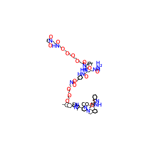 CCC1(Cn2ncc(-c3ccc(N4CCc5cccc(C(=O)Nc6nc7ccccc7s6)c5C4)nc3C(=O)O)c2C)CC2CC(C)CC(OCCOCCOCCN(C)C(=O)OCc3ccc(NC(=O)[C@H](CCCNC(N)=O)NC(=O)[C@@H](NC(=O)CCOCCOCCOCCOCCNC(=O)CCN4C(=O)C=CC4=O)C(C)C)cc3)(C2)C1